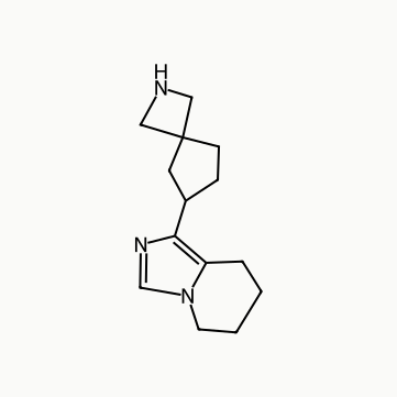 c1nc(C2CCC3(CNC3)C2)c2n1CCCC2